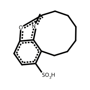 O=S(=O)(O)c1ccc2oc3nc2c1CCCCCC3